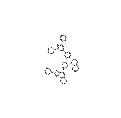 Cc1ccc(-c2nc3c(s2)c(-c2cccc(-c4c(-c5ccc(-c6cc(-c7ccccc7)nc(-c7ccccc7)c6)cc5)ccc5ccccc45)c2)cc2ccccc23)c(C)n1